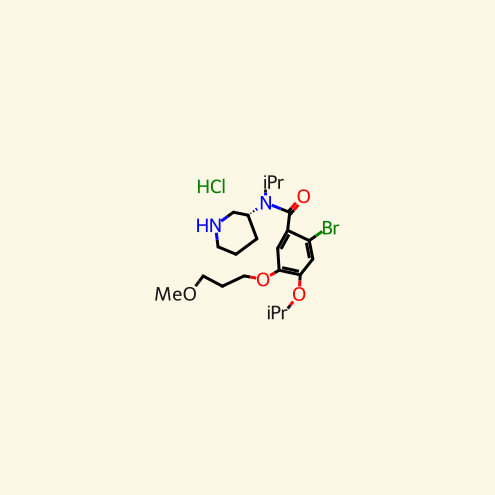 COCCCOc1cc(C(=O)N(C(C)C)[C@@H]2CCCNC2)c(Br)cc1OC(C)C.Cl